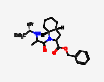 CCC[C@H](NC(C)C(=O)N1C(C(=O)OCc2ccccc2)C[C@H]2CCCC[C@H]21)C(=O)OCC